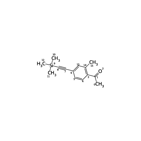 CC(=O)c1ccc(C#C[Si](C)(C)C)cc1C